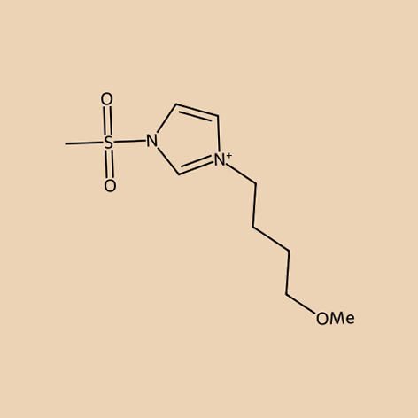 COCCCC[n+]1ccn(S(C)(=O)=O)c1